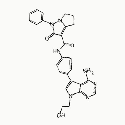 Nc1ncnc2c1c(-c1ccc(NC(=O)c3c4n(n(-c5ccccc5)c3=O)CCC4)cc1)cn2CCO